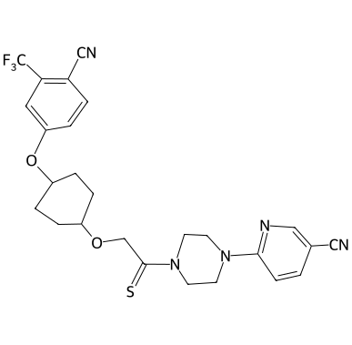 N#Cc1ccc(N2CCN(C(=S)COC3CCC(Oc4ccc(C#N)c(C(F)(F)F)c4)CC3)CC2)nc1